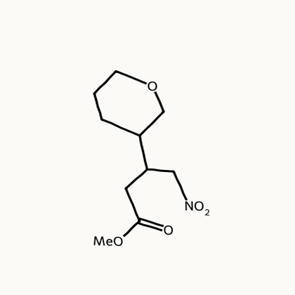 COC(=O)CC(C[N+](=O)[O-])C1CCCOC1